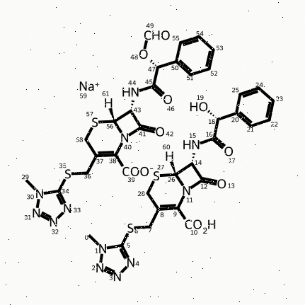 Cn1nnnc1SCC1=C(C(=O)O)N2C(=O)[C@@H](NC(=O)[C@H](O)c3ccccc3)[C@H]2SC1.Cn1nnnc1SCC1=C(C(=O)[O-])N2C(=O)[C@@H](NC(=O)[C@H](OC=O)c3ccccc3)[C@H]2SC1.[Na+]